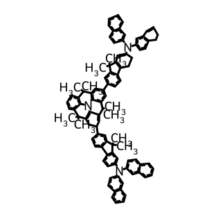 CC1(C)C2=C(CCC(N(c3ccc4c(c3)C=CCC4)c3ccc4ccccc4c3)=C2)c2ccc(-c3cc4c5c(c3)C(C)(C)c3cccc6c3N5C3=C(CC(c5ccc7c(c5)C(C)(C)c5cc(N(c8ccc9ccccc9c8)c8ccc9ccccc9c8)ccc5-7)C=C3C4(C)C)C6(C)C)cc21